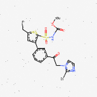 CCCCOC(=O)NS(=O)(=O)c1sc(CC(C)C)cc1-c1cccc(C(=O)Cn2ccnc2CC)c1